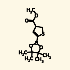 COC(=O)C1C=C(B2OC(C)(C)C(C)(C)O2)SC1